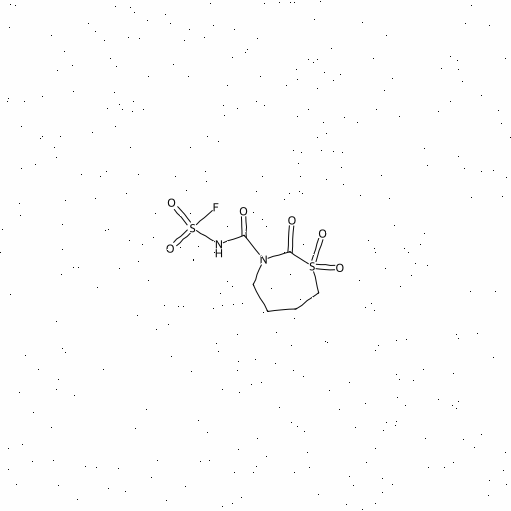 O=C(NS(=O)(=O)F)N1CCCCS(=O)(=O)C1=O